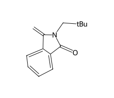 C=C1c2ccccc2C(=O)N1CC(C)(C)C